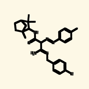 Cc1ccc(/N=N/C(C(=O)NC2C3(C)CCC(C3)C2(C)C)/C(N)=N/Cc2ccc(Cl)cc2)cc1